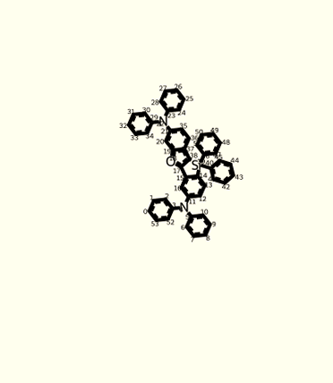 c1ccc(N(c2ccccc2)c2ccc3c(c2)-c2oc4cc(N(c5ccccc5)c5ccccc5)ccc4c2[Si]3(c2ccccc2)c2ccccc2)cc1